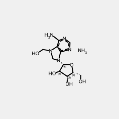 N.Nc1ncnc2c1N(CO)CN2[C@@H]1O[C@H](CO)[C@@H](O)[C@H]1O